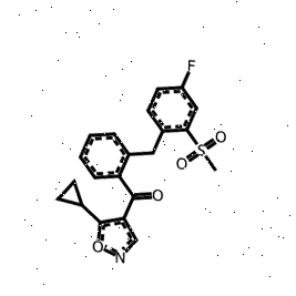 CS(=O)(=O)c1cc(F)ccc1Cc1ccccc1C(=O)c1cnoc1C1CC1